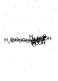 COCCOCCOCCOCCOCCNc1nc(Cl)nc2c1ncn2[C@@H]1O[C@H](CCP(=O)(O)CP(=O)(O)O)C(O)C1O